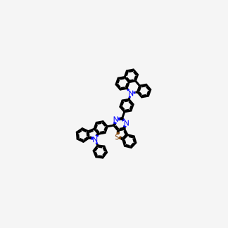 c1ccc(-n2c3ccccc3c3ccc(-c4nc(-c5ccc(N6c7ccccc7-c7cccc8cccc6c78)cc5)nc5c4sc4ccccc45)cc32)cc1